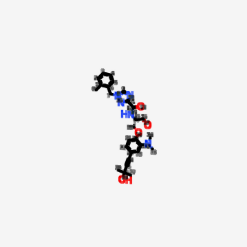 Cc1ccccc1Cn1cnc(C(=O)N[C@H](C=O)COc2ccc(C#CC(C)(C)O)cc2N(C)C)n1